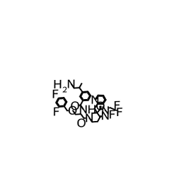 CC(CN)c1cccc(C(=O)NC(COCc2ccc(F)cc2F)C(=O)N2CCC3=NN(CC(F)(F)F)C(=O)C3(Cc3ccccn3)C2)c1